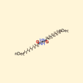 CCCCCCCCCCCCCCCCCCCCC(=O)NCCNC(=O)CCCCCCCCCCCCCCCCCCCC